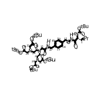 CC(C)C[C@@H](NC(=O)OC(C)(C)C)C(=O)NOCc1ccc(CNC(=O)CN(CCN(CC(=O)OC(C)(C)C)CC(=O)OC(C)(C)C)CCN(CC(=O)OC(C)(C)C)CC(=O)OC(C)(C)C)cc1